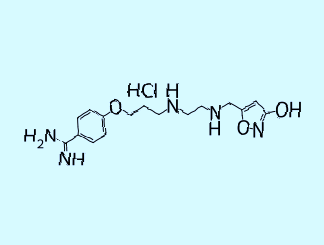 Cl.N=C(N)c1ccc(OCCCNCCNCc2cc(O)no2)cc1